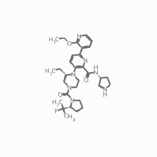 CCOc1ncccc1-c1ccc(N2CCN(C(=O)N3CCC[C@H]3C(C)(C)F)C[C@H]2CC)c(C(=O)N[C@@H]2CCNC2)n1